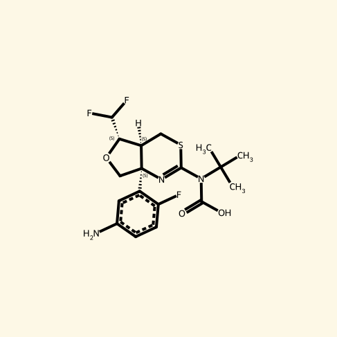 CC(C)(C)N(C(=O)O)C1=N[C@@]2(c3cc(N)ccc3F)CO[C@H](C(F)F)[C@H]2CS1